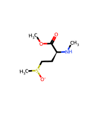 CN[C@@H](CC[S+](C)[O-])C(=O)OC